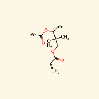 C=CC(=O)OCC(C)(C)C(OC(=O)C(C)C)C(C)C